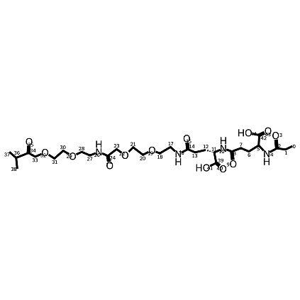 CCC(=O)NC(CCC(=O)N[C@@H](CCC(=O)NCCOCCOCC(=O)NCCOCCOCC(=O)C(C)C)C(=O)O)C(=O)O